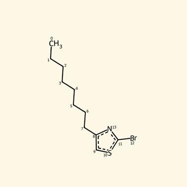 CCCCCCCCc1csc(Br)n1